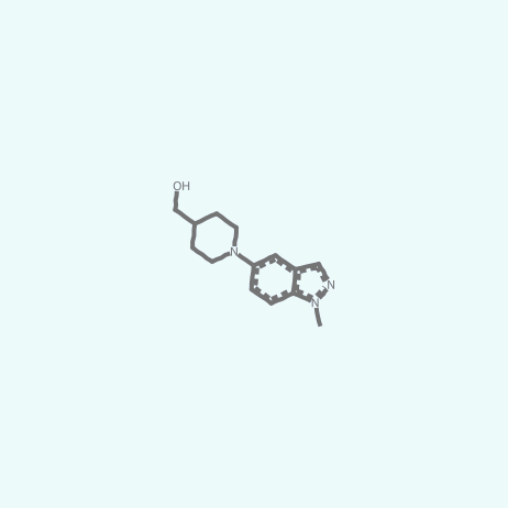 Cn1ncc2cc(N3CCC(CO)CC3)ccc21